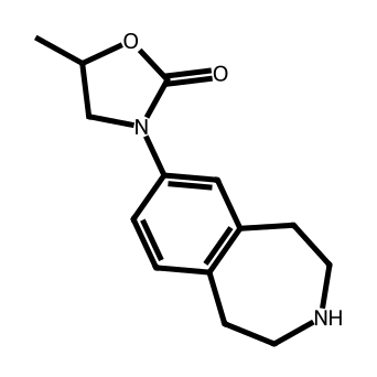 CC1CN(c2ccc3c(c2)CCNCC3)C(=O)O1